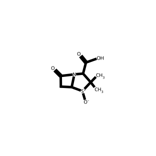 CC1(C)C(C(=O)O)N2C(=O)CC2[S+]1[O-]